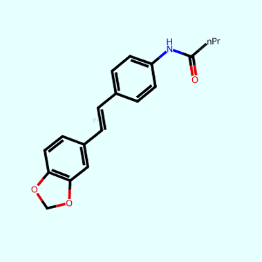 CCCC(=O)Nc1ccc(/C=C/c2ccc3c(c2)OCO3)cc1